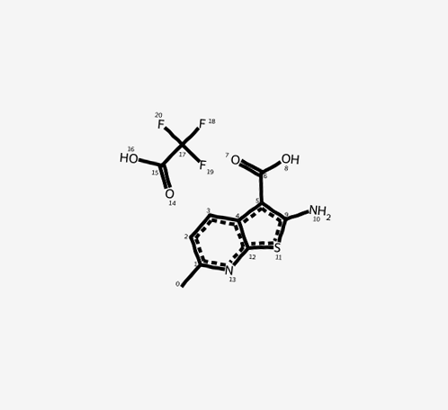 Cc1ccc2c(C(=O)O)c(N)sc2n1.O=C(O)C(F)(F)F